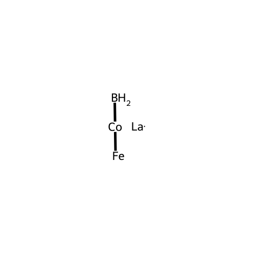 [BH2][Co][Fe].[La]